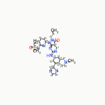 C=CCn1c(=O)c2cnc(Nc3cc4c(c(-c5cnccn5)c3)CCN(C)C4)nc2n1-c1cccc(N=S(C)(C)=O)n1